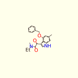 CCN(C)C(=O)C(=O)c1c[nH]c2cc(C)cc(OCc3ccccc3)c12